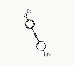 CCCC1CC=C(C#Cc2ccc(OCC)cc2)CC1